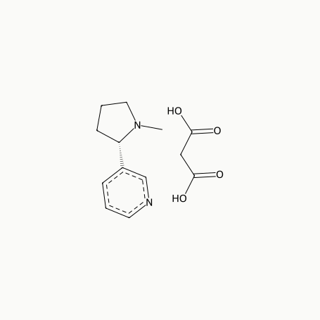 CN1CCC[C@H]1c1cccnc1.O=C(O)CC(=O)O